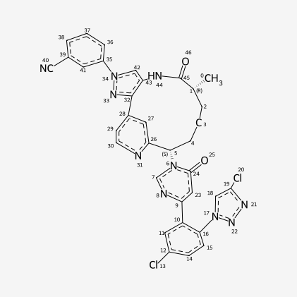 C[C@@H]1CCC[C@H](n2cnc(-c3cc(Cl)ccc3-n3cc(Cl)nn3)cc2=O)c2cc(ccn2)-c2nn(-c3cccc(C#N)c3)cc2NC1=O